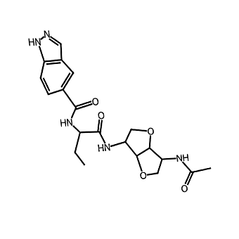 CCC(NC(=O)c1ccc2[nH]ncc2c1)C(=O)NC1COC2C(NC(C)=O)COC12